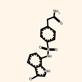 NC(=O)Cc1ccc(S(=O)(=O)Nc2cccc3c(Cl)c[nH]c23)cc1